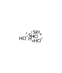 Cl.Cl.Cl.[SiH4].[SiH4]